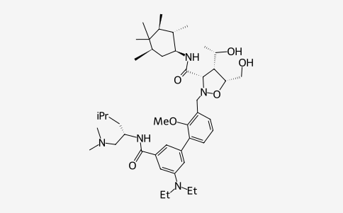 CCN(CC)c1cc(C(=O)N[C@@H](CC(C)C)CN(C)C)cc(-c2cccc(CN3O[C@@H](CO)[C@@H]([C@H](C)O)[C@H]3C(=O)N[C@H]3C[C@@H](C)C(C)(C)[C@@H](C)[C@@H]3C)c2OC)c1